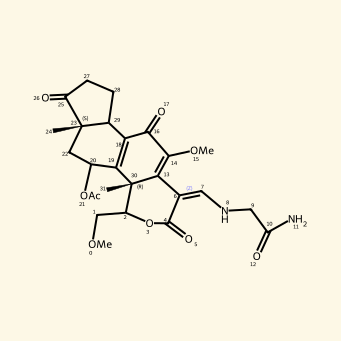 COCC1OC(=O)/C(=C\NCC(N)=O)C2=C(OC)C(=O)C3=C(C(OC(C)=O)C[C@]4(C)C(=O)CCC34)[C@]21C